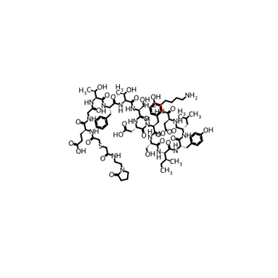 CC[C@H](C)[C@H](NC(=O)[C@H](CO)NC(=O)[C@H](Cc1ccc(O)cc1)NC(=O)[C@H](CC(=O)O)NC(=O)[C@H](CO)NC(=O)[C@@H](NC(=O)[C@H](Cc1ccccc1)NC(=O)[C@@H](NC(=O)CNC(=O)[C@H](CCC(=O)O)NC(=O)CSCC(=O)NCCN1CCCC1=O)[C@@H](C)O)[C@@H](C)O)C(=O)N[C@@H](Cc1ccc(O)cc1)C(=O)N[C@@H](CC(C)C)C(=O)N[C@@H](CC(=O)O)C(=O)N[C@H](C)CCCCN